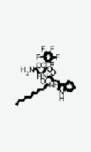 CCCCCCCCCC(=O)N[C@H](Cc1c[nH]c2ccccc12)C(=O)N[C@@H](CC(N)=O)C(=O)Oc1c(F)c(F)c(F)c(F)c1F